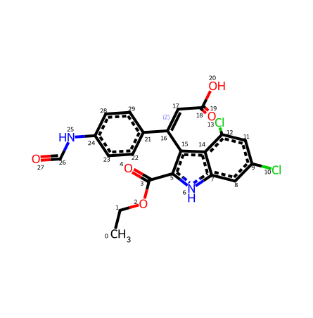 CCOC(=O)c1[nH]c2cc(Cl)cc(Cl)c2c1/C(=C\C(=O)O)c1ccc(NC=O)cc1